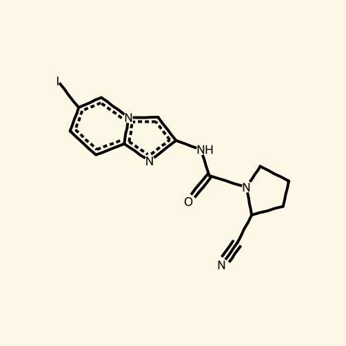 N#CC1CCCN1C(=O)Nc1cn2cc(I)ccc2n1